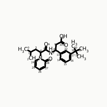 CC(C)CC(C(=O)NC(CC(=O)O)c1cccc(C(C)(C)C)c1)n1ccccc1=O